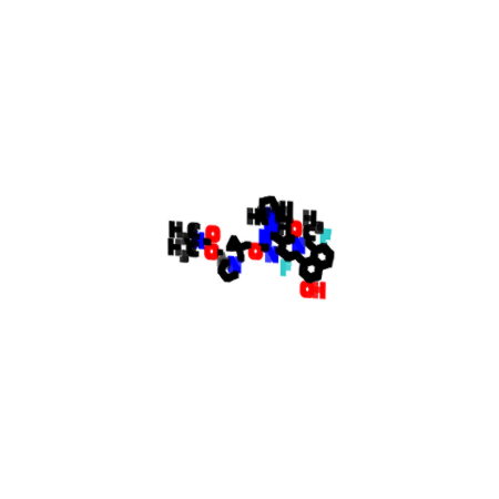 CCc1c(F)ccc2cc(O)cc(-c3nc4c5c(nc(OCC6(CN7CCC[C@@H]7COC(=O)N(C)C)CC6)nc5c3F)N3C[C@H]5CC[C@H](N5)[C@@H]3CO4)c12